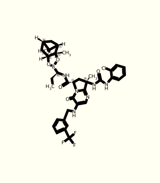 CC[C@H](NC(=O)[C@@H]1C[C@@](C)(NC(=O)Nc2ccccc2Cl)c2ncc(NCc3cccc(C(F)(F)F)c3)c(=O)n21)B1O[C@@H]2C[C@@H]3C[C@@H](C3(C)C)[C@]2(C)O1